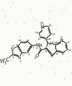 Cc1nc2cc(NC(=O)c3cc4cccnc4n3-c3ccncc3)ccc2s1